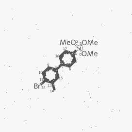 CO[Si](OC)(OC)c1ccc(-c2ccc(Br)c(C)c2)cc1